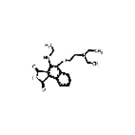 CCNc1c2c(c3ccccc3c1OCCN(CC)CC)C(=O)NC2=O